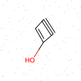 OC1=CC#C1